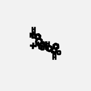 CC(C)(C)CN1Cc2c(ccc3[nH]ncc23)C[C@@H](NC(=O)N2CCC3(CC2)CNC(=O)c2ccccc23)C1=O